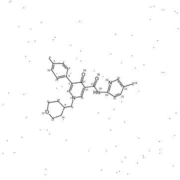 Cc1ccc(-c2cn(CC3CCOCC3)cc(C(=O)Nc3ccc(I)cn3)c2=O)cc1